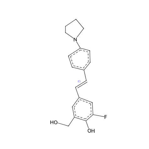 OCc1cc(/C=C/c2ccc(N3CCCC3)cc2)cc(F)c1O